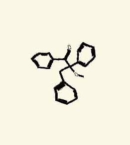 COC(Cc1ccccc1)(C(=O)c1ccccc1)c1ccccc1